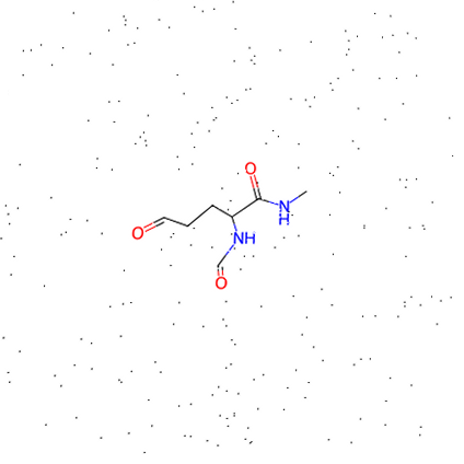 CNC(=O)C(CCC=O)NC=O